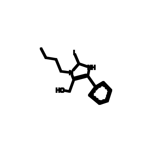 CCCCN1C(CO)=C(c2ccccc2)NC1I